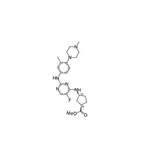 COC(=O)[C@@H]1CC[C@H](Nc2nc(Nc3ccc(N4CCN(C)CC4)c(C)c3)ncc2F)C1